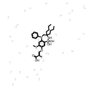 CCCCC1(CCCC)CN(c2ccccc2)c2cc(SC)c(OC=C(F)C(=O)O)cc2S(O)(O)N1